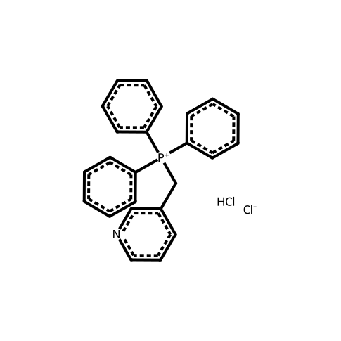 Cl.[Cl-].c1ccc([P+](Cc2cccnc2)(c2ccccc2)c2ccccc2)cc1